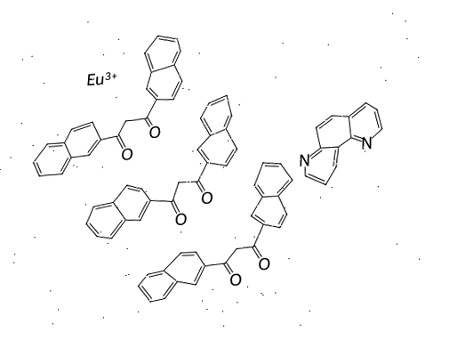 O=C(CC(=O)c1ccc2ccccc2c1)c1ccc2ccccc2c1.O=C(CC(=O)c1ccc2ccccc2c1)c1ccc2ccccc2c1.O=C(CC(=O)c1ccc2ccccc2c1)c1ccc2ccccc2c1.[Eu+3].c1cnc2c(c1)ccc1ncccc12